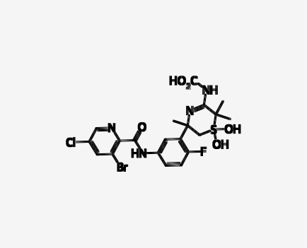 CC1(c2cc(NC(=O)c3ncc(Cl)cc3Br)ccc2F)CS(O)(O)C(C)(C)C(NC(=O)O)=N1